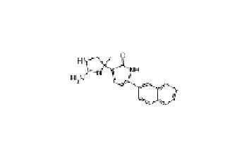 CC1(c2ccc(-c3ccc4ccccc4c3)[nH]c2=O)CNC(N)=N1